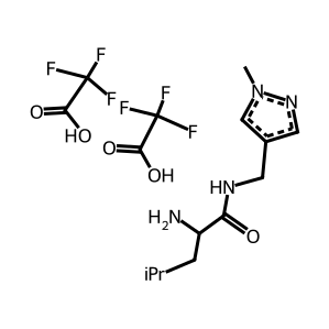 CC(C)CC(N)C(=O)NCc1cnn(C)c1.O=C(O)C(F)(F)F.O=C(O)C(F)(F)F